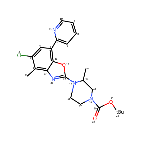 Cc1c(Cl)cc(-c2ccccn2)c2oc(N3CCN(C(=O)OC(C)(C)C)CC3C)nc12